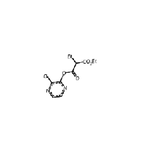 CCOC(=O)C(CC)C(=O)Oc1nccnc1Cl